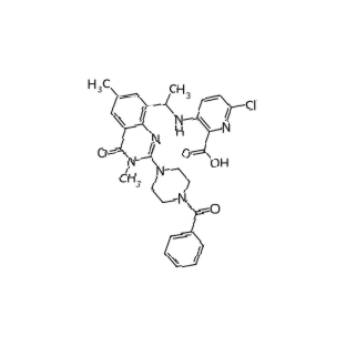 Cc1cc(C(C)Nc2ccc(Cl)nc2C(=O)O)c2nc(N3CCN(C(=O)c4ccccc4)CC3)n(C)c(=O)c2c1